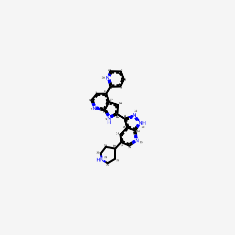 c1ccc(-c2ccnc3[nH]c(-c4n[nH]c5ncc(C6CCNCC6)cc45)cc23)nc1